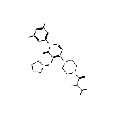 CC(C)C(O)C(=O)N1CCN(c2cnn(-c3cc(F)cc(F)c3)c(=O)c2OC2CCCC2)CC1